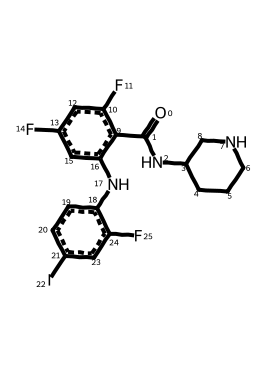 O=C(NC1CCCNC1)c1c(F)cc(F)cc1Nc1ccc(I)cc1F